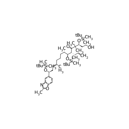 C=CC[C@@H](C(=O)C(C)(C)[C@H](CCO)O[Si](C)(C)C(C)(C)C)[C@@H](O[Si](C)(C)C(C)(C)C)[C@@H](C)CCC/C(C)=C/C[C@H](O[Si](C)(C)C(C)(C)C)c1ccc2oc(C)nc2c1